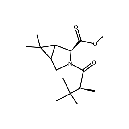 COC(=O)[C@@H]1C2C(CN1C(=O)[C@@H](C)C(C)(C)C)C2(C)C